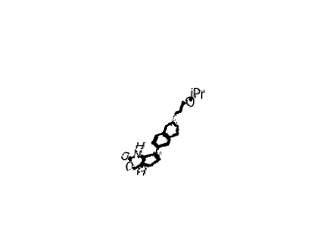 CC(C)OCCC[C@@H]1CCc2cc([C@H]3CC[C@@H]4COC(=O)NC43)ccc2C1